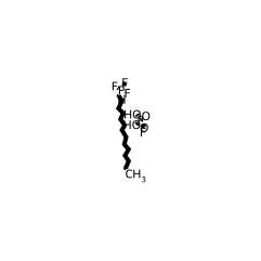 CCCCCCCCCCCCCC[PH](F)(F)F.O=P(O)(O)OF